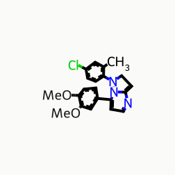 COc1ccc(C2=CC=NC3=CCN(c4ccc(Cl)cc4C)N32)cc1OC